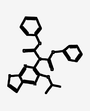 CC(C)Oc1nc2ccsc2nc1N(C(=O)Oc1ccccc1)C(=O)Oc1ccccc1